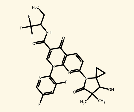 CCC(NC(=O)c1cn(-c2ncc(F)cc2F)c2nc(N3C(=O)C(C)(C)C(O)C34CC4)ccc2c1=O)C(F)(F)F